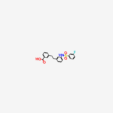 O=C(O)c1cccc(CCc2cccc(NS(=O)(=O)c3cccc(F)c3)c2)c1